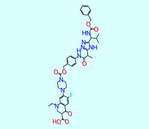 CCN1CC(C(=O)O)C(=O)c2cc(F)c(N3CCN(C(=O)OCc4ccc(NC(=O)C(C)c5nnc([C@@H](NC(=O)OCc6ccccc6)C(C)C)[nH]5)cc4)CC3)cc21